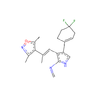 C=Nc1[nH]cc(C2=CCC(F)(F)CC2)c1/C=C(\C)c1c(C)noc1C